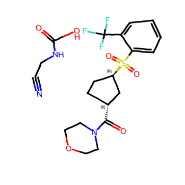 N#CCNC(=O)O.O=C([C@@H]1CC[C@@H](S(=O)(=O)c2ccccc2C(F)(F)F)C1)N1CCOCC1